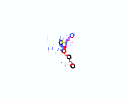 Cc1cc(Oc2cccc(COc3ccccc3C#N)c2)ccc1C1(N)C(=O)C(N)c2c(C(=O)NC3CCCNC3)sc3c(N)ccc1c23